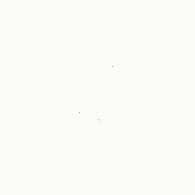 Cn1ccc(-c2cccc([N+](=O)[O-])c2)n1